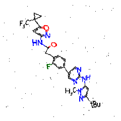 Cn1nc(C(C)(C)C)cc1Nc1ncc(-c2ccc(CC(=O)Nc3cc(C4(C(F)(F)F)CC4)on3)c(F)c2)cn1